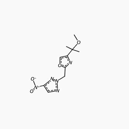 COC(C)(C)c1coc(Cn2ncc([N+](=O)[O-])n2)n1